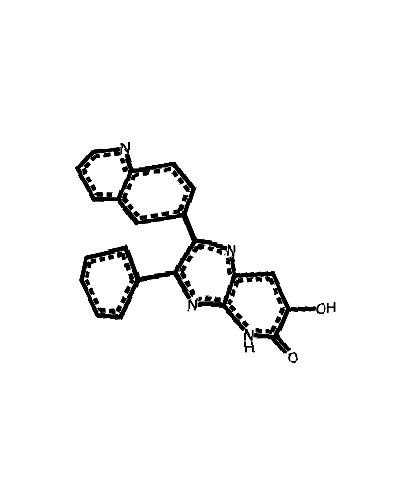 O=c1[nH]c2nc(-c3ccccc3)c(-c3ccc4ncccc4c3)nc2cc1O